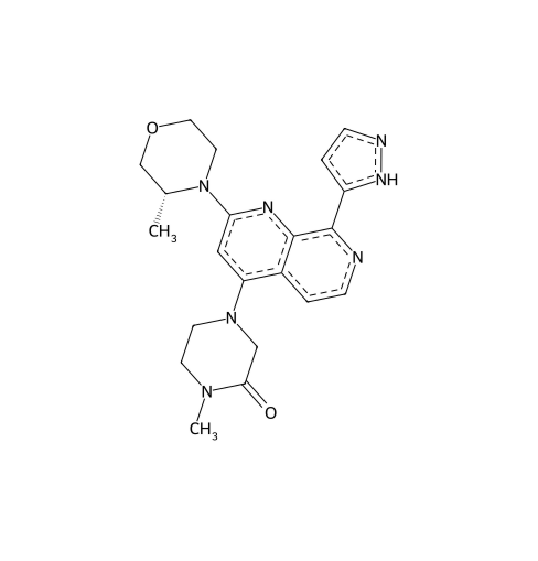 C[C@@H]1COCCN1c1cc(N2CCN(C)C(=O)C2)c2ccnc(-c3ccn[nH]3)c2n1